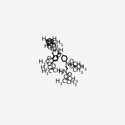 COc1c(C[C@H](NC(=O)C[C@H]2CC[C@H](N(CCNC(=O)OC(C)(C)C)C(=O)OC(C)(C)C)CC2)B2O[C@@H]3C[C@@H]4C[C@@H](C4(C)C)[C@]3(C)O2)cccc1C(=O)OC(C)(C)C